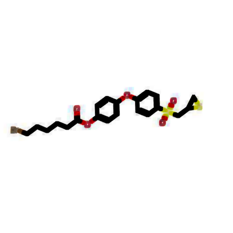 O=C(CCCCCBr)Oc1ccc(Oc2ccc(S(=O)(=O)CC3CS3)cc2)cc1